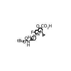 CC(C)(C)OC(=O)N[C@H]1[C@@H]2CCN(c3nc4c(cc3F)c(=O)c(C(=O)O)cn4C3CC3)C[C@@H]21